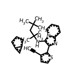 C#Cc1ccsc1-c1nc2ccccn2c1NC(C)(C)CC(C)(C)C.c1cc2cc-2c1